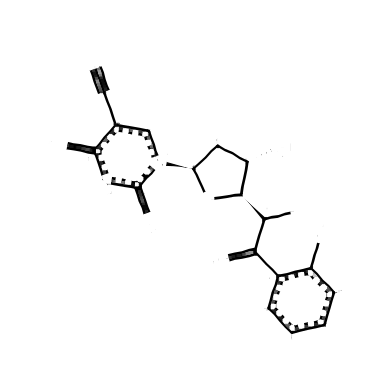 C#Cc1cn([C@H]2C[C@H](O)[C@@H](C(O)C(=O)c3ccccc3C)O2)c(=O)[nH]c1=O